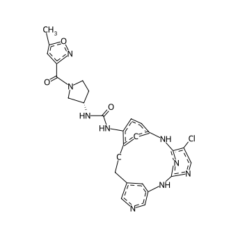 Cc1cc(C(=O)N2CC[C@H](NC(=O)Nc3ccc4cc3CCc3cncc(c3)Nc3ncc(Cl)c(n3)N4)C2)no1